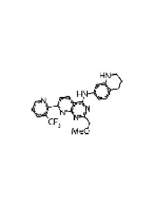 COCc1nc(Nc2ccc3c(c2)NCCC3)c2ccc(-c3ncccc3C(F)(F)F)nc2n1